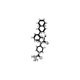 CC(C)NC(=O)N1CCC(n2c(=O)n(C)c3c(-c4ccc5ccccc5c4)ccnc32)CC1